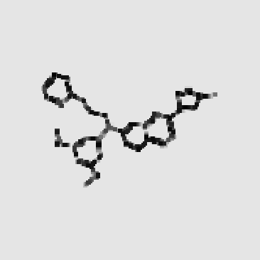 COc1cc(OC)cc(N(CCCc2ncccn2)c2ccc3ncc(-c4cnn(C)c4)nc3c2)c1